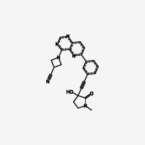 CN1CCC(O)(C#Cc2cccc(-c3ccc4ncnc(N5CC(C#N)C5)c4n3)c2)C1=O